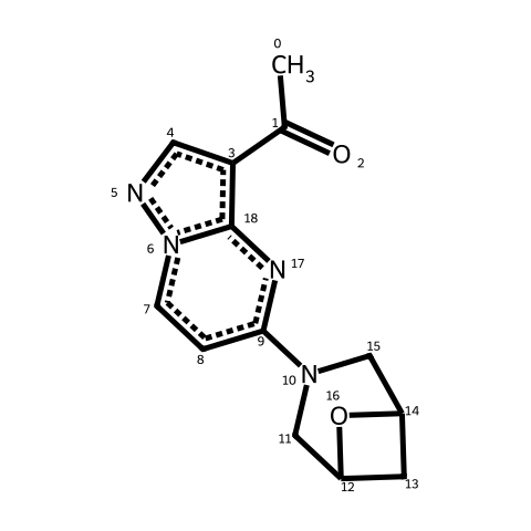 CC(=O)c1cnn2ccc(N3CC4CC(C3)O4)nc12